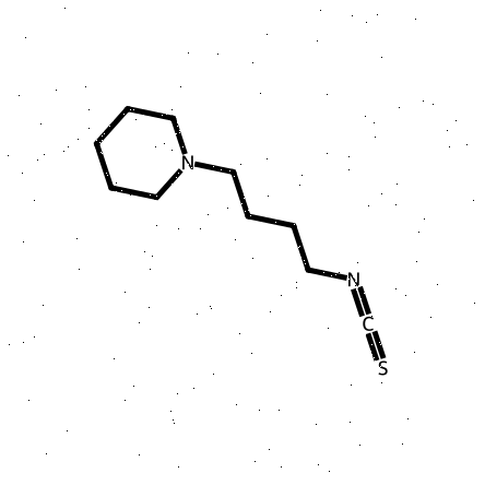 S=C=NCCCCN1CCCCC1